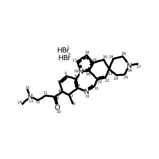 Br.Br.CC1C2=C(C=CC1C(=O)CCN(C)C)n1ccc3c1C(=CC1(CCN(C)CC1)C3)C=N2